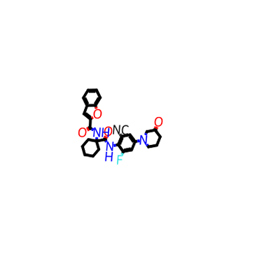 N#Cc1cc(N2CCCC(=O)C2)cc(F)c1NC(=O)C1(NC(=O)c2cc3ccccc3o2)CCCCC1